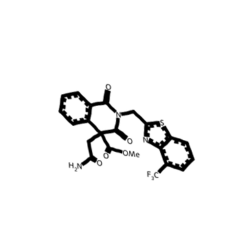 COC(=O)C1(CC(N)=O)C(=O)N(Cc2nc3c(C(F)(F)F)cccc3s2)C(=O)c2ccccc21